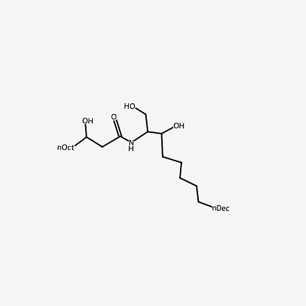 CCCCCCCCCCCCCCCC(O)C(CO)NC(=O)CC(O)CCCCCCCC